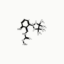 CC(C)(C)OC(=O)N/C=C1\C(=N)C=CC=C1B1OC(C)(C)C(C)(C)O1